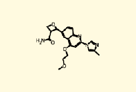 COCCOc1cc(-n2cnc(C)c2)nc2ccc(C3OCC3C(N)=O)cc12